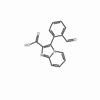 O=Cc1ccccc1-c1c(C(=O)O)nc2ccccn12